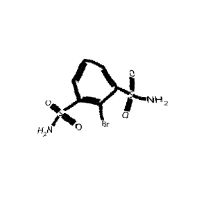 NS(=O)(=O)c1cccc(S(N)(=O)=O)c1Br